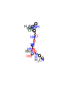 Cc1ncsc1-c1ccc(CNC(=O)[C@@H]2C[C@@H](O)CN2C(=O)[C@@H](NC(=O)c2cnn(CCOCCNC(=O)/C=C/c3cc(F)c([C@@H]4c5[nH]c6ccccc6c5C[C@@H](C)N4CC(C)(C)F)c(F)c3)c2)C(C)(C)C)cc1